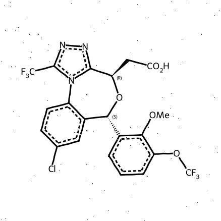 COc1c(OC(F)(F)F)cccc1[C@H]1O[C@H](CC(=O)O)c2nnc(C(F)(F)F)n2-c2ccc(Cl)cc21